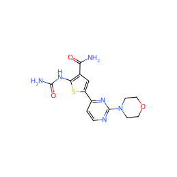 NC(=O)Nc1sc(-c2ccnc(N3CCOCC3)n2)cc1C(N)=O